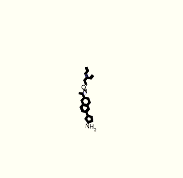 C=C/C=C(\C=C)CCO/N=C(\C)C1CCc2cc(C3CCC(N)C3)ccc2C1